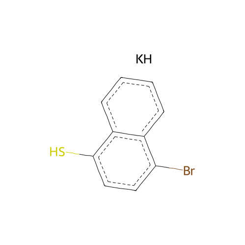 Sc1ccc(Br)c2ccccc12.[KH]